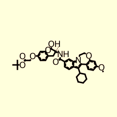 COc1ccc2c(c1)OCCn1c-2c(C2CCCCC2)c2ccc(C(=O)N[C@@](C)(Cc3ccc(OCC(=O)OC(C)(C)C)cc3)C(=O)O)cc21